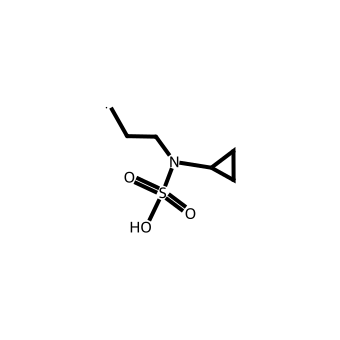 [CH2]CCN(C1CC1)S(=O)(=O)O